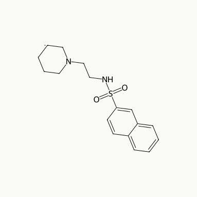 O=S(=O)(NCCN1C[CH]CCC1)c1ccc2ccccc2c1